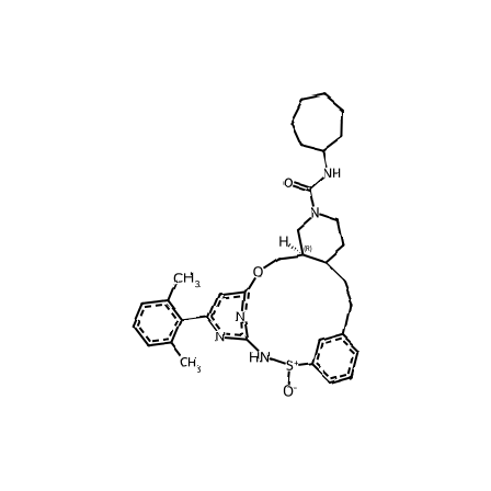 Cc1cccc(C)c1-c1cc2nc(n1)N[S+]([O-])c1cccc(c1)CCC1CCN(C(=O)NC3CCCCCC3)C[C@@H]1CO2